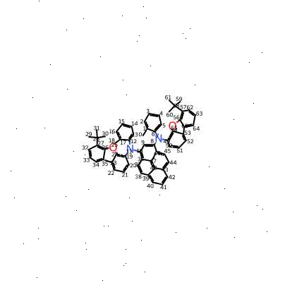 Cc1ccccc1N(c1cc(N(c2ccccc2C)c2cccc3c2oc2c(C(C)(C)C)cccc23)c2ccc3cccc4ccc1c2c43)c1cccc2c1oc1c(C(C)(C)C)cccc12